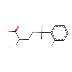 CC(CCC(C)(C)c1ccccc1O)C(=O)O